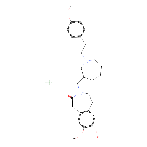 COc1ccc(CCN2CCCCC(CN3CCc4cc(OC)c(OC)cc4CC3=O)C2)cc1.Cl